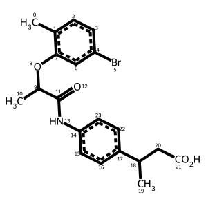 Cc1ccc(Br)cc1OC(C)C(=O)Nc1ccc(C(C)CC(=O)O)cc1